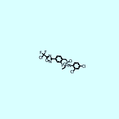 CCOP(=O)(Cc1ccc(-c2noc(C(F)(F)Cl)n2)cc1F)Nc1ccc(Cl)cc1Cl